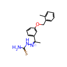 C/C(=N/NC(N)=S)c1cccc(OCc2ccccc2C)c1